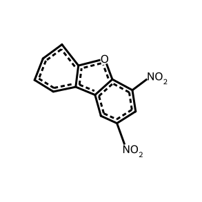 O=[N+]([O-])c1cc([N+](=O)[O-])c2oc3ccccc3c2c1